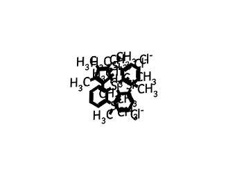 CC1=C(C)[C]([Ti+3])([Si](c2ccccc2[Si](C)(C)C)(c2ccccc2[Si](C)(C)C)c2ccccc2[Si](C)(C)C)C(C)=C1C.[Cl-].[Cl-].[Cl-]